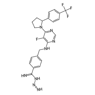 N=NNC(=N)c1ccc(CNc2ncnc(N3CCCC3c3ccc(C(F)(F)F)cc3)c2F)cc1